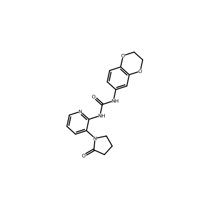 O=C(Nc1ccc2c(c1)OCCO2)Nc1ncccc1N1CCCC1=O